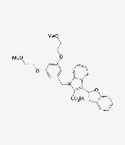 CCOC(=O)c1c(-c2cc3ccccc3o2)c2ccccc2n1Cc1cc(OCCOC)cc(OCCOC)c1